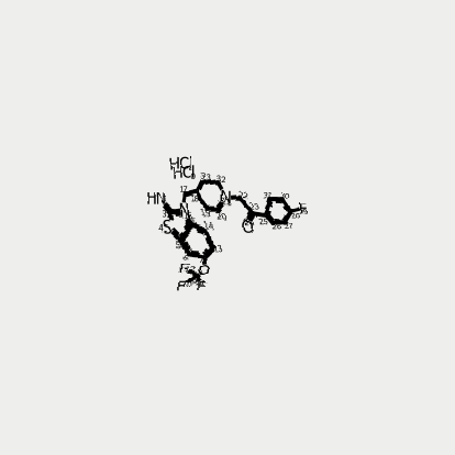 Cl.Cl.N=c1sc2cc(OC(F)(F)F)ccc2n1CC1CCN(CC(=O)c2ccc(F)cc2)CC1